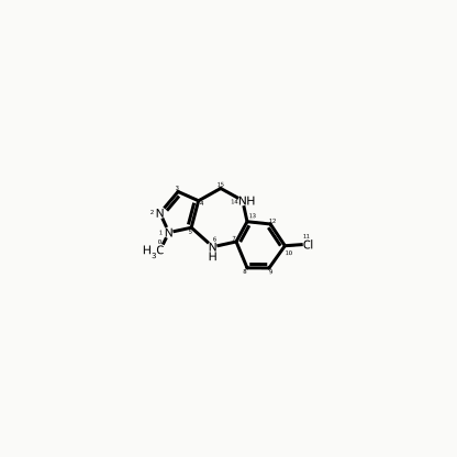 Cn1ncc2c1Nc1ccc(Cl)cc1NC2